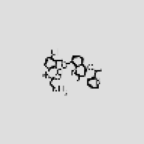 Cc1cc(OC(C)c2ccccn2)c2cccc(OCc3c(Cl)ccc(N(C)C(=O)CN)c3Cl)c2n1